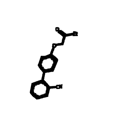 CCC(=O)COc1ccc(-c2ccccc2C#N)cc1